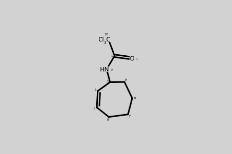 O=C(NC1C=CCCCC1)C(Cl)(Cl)Cl